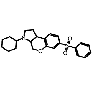 O=S(=O)(c1ccccc1)c1ccc2c(c1)OCC1C2CCN1C1CCCCC1